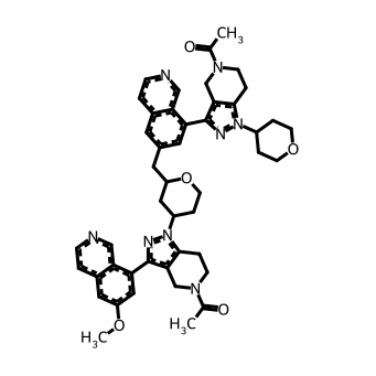 COc1cc(-c2nn(C3CCOC(Cc4cc(-c5nn(C6CCOCC6)c6c5CN(C(C)=O)CC6)c5cnccc5c4)C3)c3c2CN(C(C)=O)CC3)c2cnccc2c1